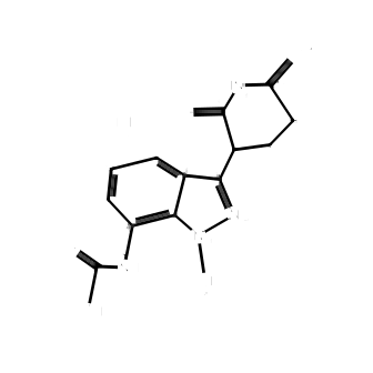 CC(=O)Nc1cccc2c(C3CCC(=O)NC3=O)nn(C)c12.Cl